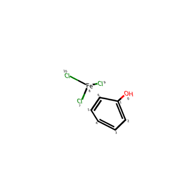 Oc1ccccc1.[Cl][Fe]([Cl])[Cl]